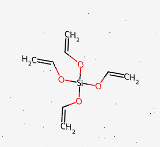 C=CO[Si](OC=C)(OC=C)OC=C